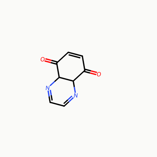 O=C1C=CC(=O)C2N=CC=NC12